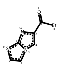 CCC(=O)c1cn2ccsc2n1